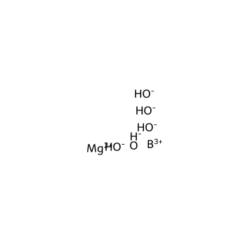 [B+3].[Mg+2].[OH-].[OH-].[OH-].[OH-].[OH-]